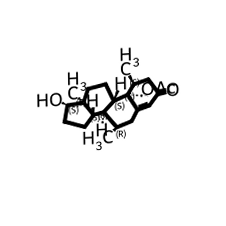 CC(=O)OC[C@@]12C(=CC(=O)C[C@@H]1C)C[C@@H](C)[C@H]1[C@@H]3CC[C@H](O)[C@@]3(C)CC[C@@H]12